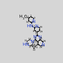 Cc1ccnc(Nc2cc(-c3nc(N4CCNCC4)c4c(C5CC5)cncc4n3)ccn2)c1